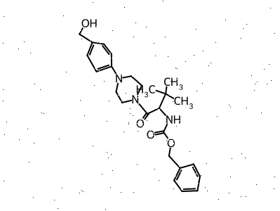 CC(C)(C)C(NC(=O)OCc1ccccc1)C(=O)N1CCN(c2ccc(CO)cc2)CC1